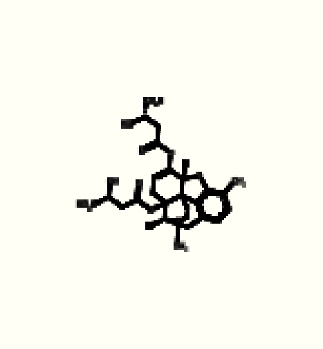 Cc1ccc2c3c1O[C@H]1C(OC(=O)C[C@H](O)C(=O)O)=CC[C@@]4(OC(=O)C[C@H](O)C(=O)O)[C@@H](C2)N(C)CC[C@]314